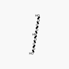 OCCOCCOCCOCCNCCOCCOCCOCCO